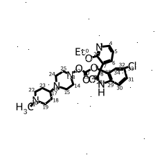 CCOc1ncccc1C1(OC(=O)ON2CCN(C3CCN(C)CC3)CC2)C(=O)Nc2ccc(Cl)cc21